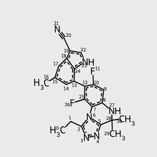 CCc1nnc2n1-c1c(cc(F)c(-c3cc(C)cc4c(C#N)c[nH]c34)c1F)NC2(C)C